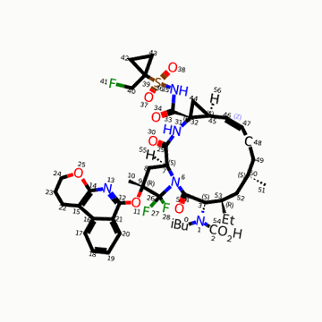 CCC(C)N(C(=O)O)[C@@H]1C(=O)N2[C@@H](C[C@@](C)(Oc3nc4c(c5ccccc35)CCCO4)C2(F)F)C(=O)N[C@]2(C(=O)NS(=O)(=O)C3(CF)CC3)C[C@H]2/C=C\CC[C@H](C)C[C@H]1CC